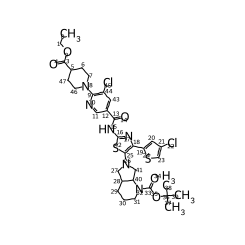 CCOC(=O)C1CCN(c2ncc(C(=O)Nc3nc(-c4cc(Cl)cs4)c(N4CC5CCCN(C(=O)OC(C)(C)C)C5C4)s3)cc2Cl)CC1